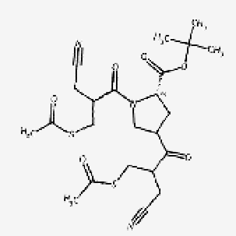 CC(=O)SCC(CC#N)C(=O)C1C[C@@H](C(=O)OC(C)(C)C)N(C(=O)C(CC#N)CSC(C)=O)C1